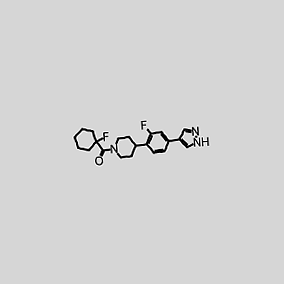 O=C(N1CCC(c2ccc(-c3cn[nH]c3)cc2F)CC1)C1(F)CCCCC1